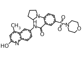 Cc1cc(O)nc2ccc(NC(=O)c3cc(S(=O)(=O)N4CCOCC4)ccc3N3CCCC3)cc12